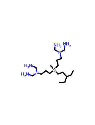 CCC(CC)CC[Si](C)(CCCN(CN)CN)CCCN(CN)CN